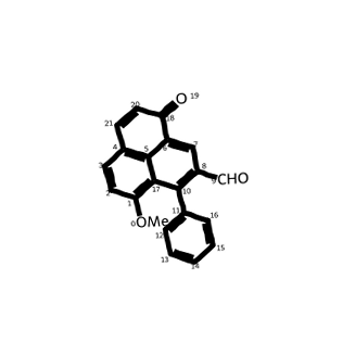 COc1ccc2c3c(cc(C=O)c(-c4ccccc4)c13)C(=O)C=C2